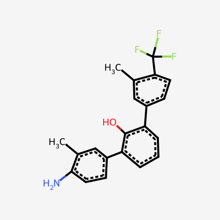 Cc1cc(-c2cccc(-c3ccc(C(F)(F)F)c(C)c3)c2O)ccc1N